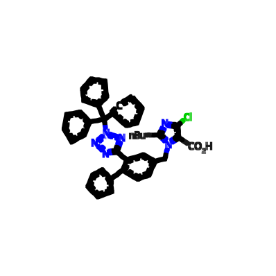 CCCCc1nc(Cl)c(C(=O)O)n1Cc1ccc(-c2ccccc2)c(-c2nnn(C(c3ccccc3)(c3ccccc3)c3ccccc3)n2)c1